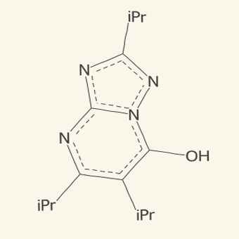 CC(C)c1nc2nc(C(C)C)c(C(C)C)c(O)n2n1